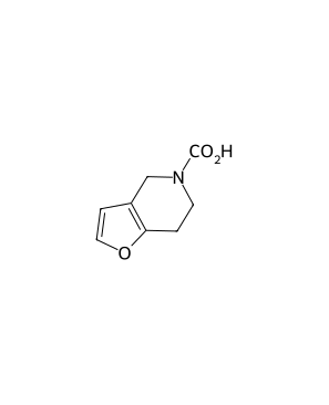 O=C(O)N1CCc2occc2C1